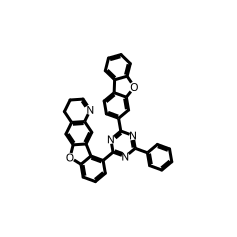 C1=Nc2cc3c(cc2CC1)oc1cccc(-c2nc(-c4ccccc4)nc(-c4ccc5c(c4)oc4ccccc45)n2)c13